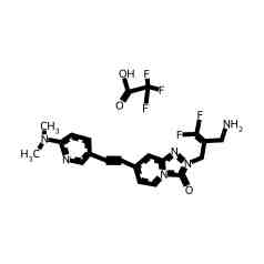 CN(C)c1ccc(C#Cc2ccn3c(=O)n(CC(CN)=C(F)F)nc3c2)cn1.O=C(O)C(F)(F)F